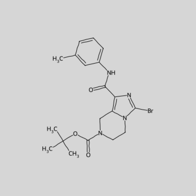 Cc1cccc(NC(=O)c2nc(Br)n3c2CN(C(=O)OC(C)(C)C)CC3)c1